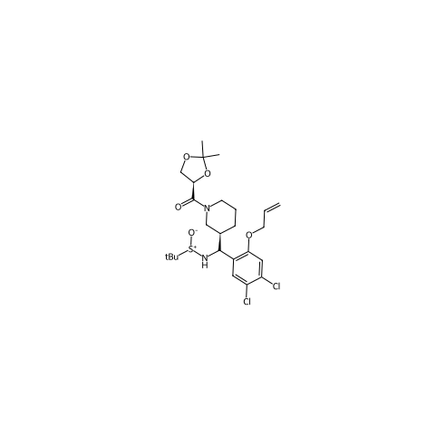 C=CCOc1cc(Cl)c(Cl)cc1C(N[S+]([O-])C(C)(C)C)[C@@H]1CCCN(C(=O)[C@H]2COC(C)(C)O2)C1